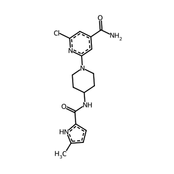 Cc1ccc(C(=O)NC2CCN(c3cc(C(N)=O)cc(Cl)n3)CC2)[nH]1